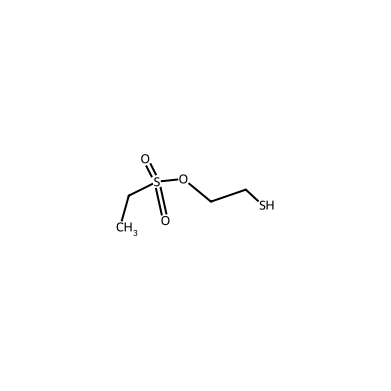 CCS(=O)(=O)OCCS